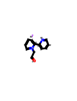 O=CC[n+]1ccccc1-c1ccccn1.[I-]